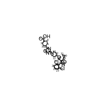 O=C(O)C1CCC(c2nc(N3CCC(OCc4c(-c5c(Cl)cccc5Cl)noc4C4CC4)CC3)no2)CC1